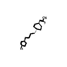 CCc1ccc(CCCC[C@H]2CC[C@H](C=C(F)C#N)CC2)cc1